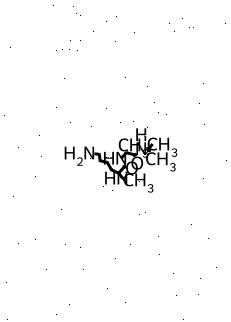 CNC(CCCCN)C(=O)NC(C)C(=O)NC(C)C